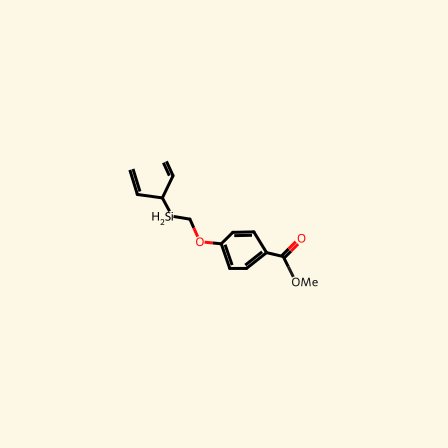 C=CC(C=C)[SiH2]COc1ccc(C(=O)OC)cc1